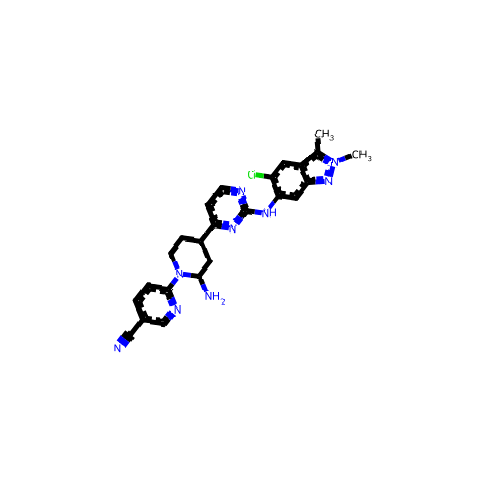 Cc1c2cc(Cl)c(Nc3nccc(C4CCN(c5ccc(C#N)cn5)C(N)C4)n3)cc2nn1C